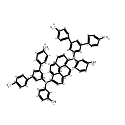 Cc1ccc(-c2cc(-c3ccc(C)cc3)cc(N(c3cccc(C#N)c3)c3ccc4ccc5c(N(c6cccc(C#N)c6)c6cc(-c7ccc(C)cc7)cc(-c7ccc(C)cc7)c6)ccc6ccc3c4c65)c2)cc1